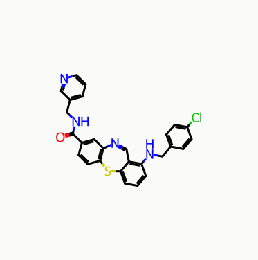 O=C(NCc1cccnc1)c1ccc2c(c1)N=Cc1c(NCc3ccc(Cl)cc3)cccc1S2